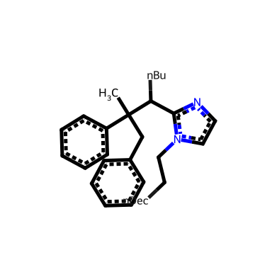 CCCCCCCCCCCCn1ccnc1C(CCCC)C(C)(Cc1ccccc1)c1ccccc1